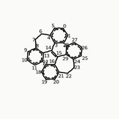 c1ccc2c(c1)CCc1ccccc1C2=C1c2ccccc2CCc2ccccc21